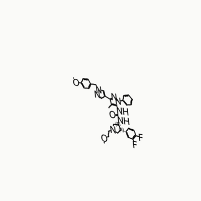 COCCN1C[C@@H](NC(=O)Nc2c(C)c(-c3cnn(Cc4ccc(OC)cc4)c3)nn2-c2ccccc2)[C@H](c2ccc(F)c(F)c2)C1